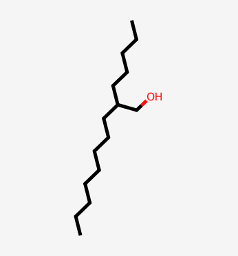 CCCCCCCCC(CO)CCCCC